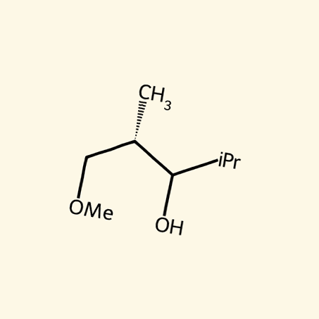 COC[C@H](C)C(O)C(C)C